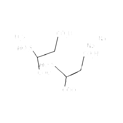 O=C(O)CC(C(=O)[O-])S(=O)(=O)O.O=C(O)CC(C(=O)[O-])S(=O)(=O)O.S.[Na+].[Na+]